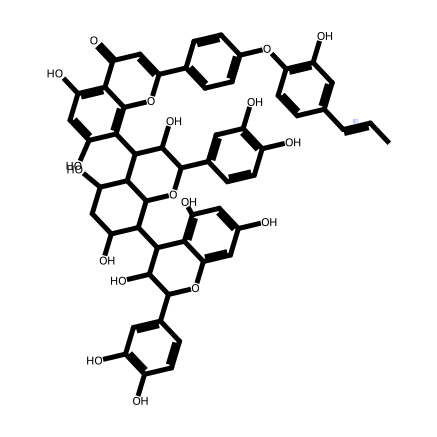 C/C=C/c1ccc(Oc2ccc(-c3cc(=O)c4c(O)cc(O)c(C5C(O)C(c6ccc(O)c(O)c6)OC6C(C7c8c(O)cc(O)cc8OC(c8ccc(O)c(O)c8)C7O)C(O)CC(O)C65)c4o3)cc2)c(O)c1